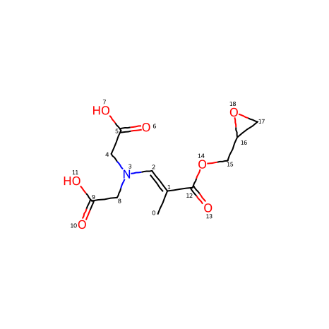 CC(=CN(CC(=O)O)CC(=O)O)C(=O)OCC1CO1